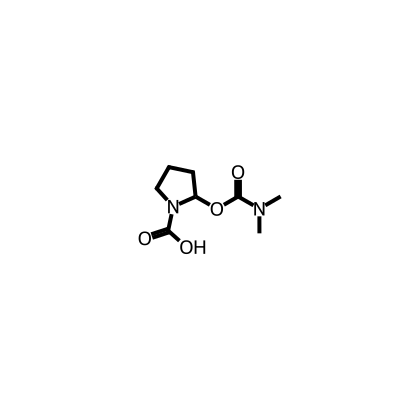 CN(C)C(=O)OC1CCCN1C(=O)O